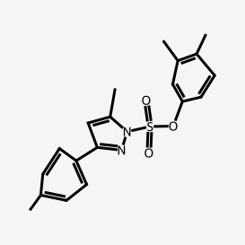 Cc1ccc(-c2cc(C)n(S(=O)(=O)Oc3ccc(C)c(C)c3)n2)cc1